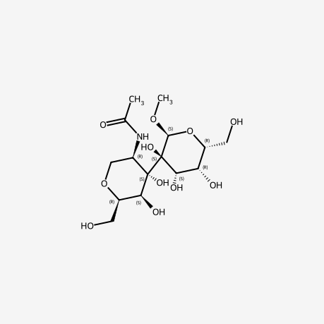 CO[C@H]1O[C@H](CO)[C@H](O)[C@H](O)[C@]1(O)[C@]1(O)[C@H](NC(C)=O)CO[C@H](CO)[C@@H]1O